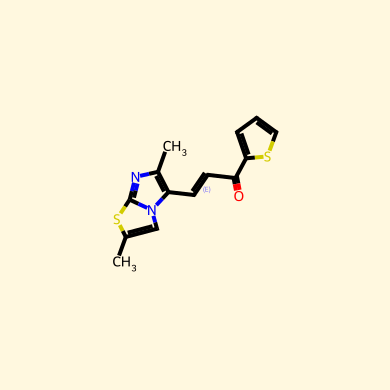 Cc1cn2c(/C=C/C(=O)c3cccs3)c(C)nc2s1